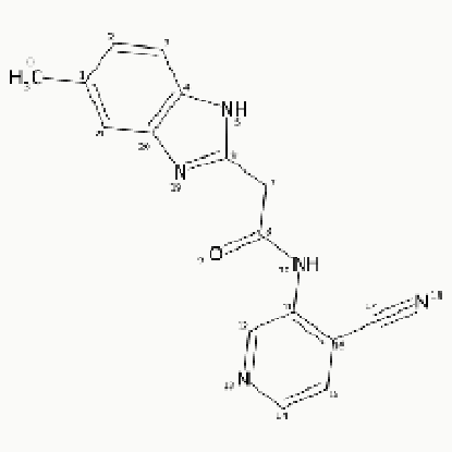 Cc1ccc2[nH]c(CC(=O)Nc3cnccc3C#N)nc2c1